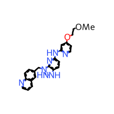 COCCOc1ccnc(Nc2ccc3c(n2)N(Cc2ccc4ncccc4c2)NN3)c1